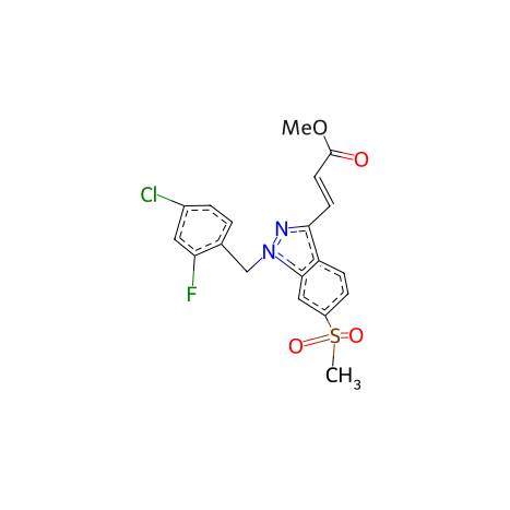 COC(=O)C=Cc1nn(Cc2ccc(Cl)cc2F)c2cc(S(C)(=O)=O)ccc12